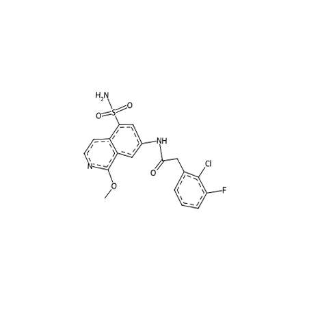 COc1nccc2c(S(N)(=O)=O)cc(NC(=O)Cc3cccc(F)c3Cl)cc12